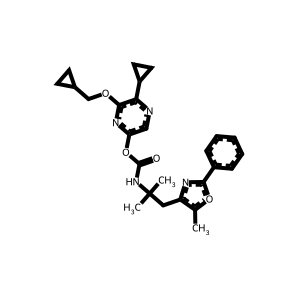 Cc1oc(-c2ccccc2)nc1CC(C)(C)NC(=O)Oc1cnc(C2CC2)c(OCC2CC2)n1